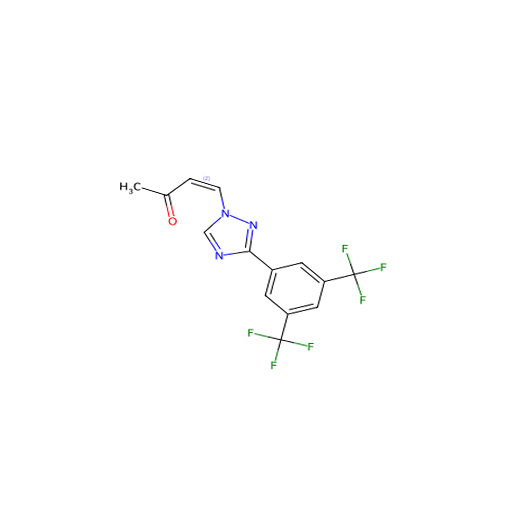 CC(=O)/C=C\n1cnc(-c2cc(C(F)(F)F)cc(C(F)(F)F)c2)n1